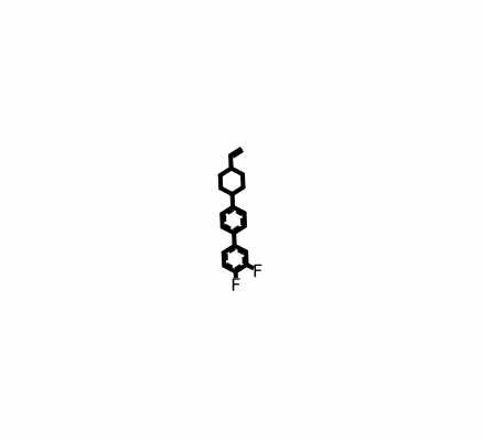 C=CC1CCC(c2ccc(-c3ccc(F)c(F)c3)cc2)CC1